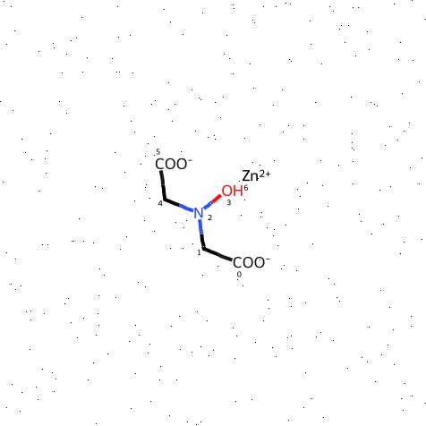 O=C([O-])CN(O)CC(=O)[O-].[Zn+2]